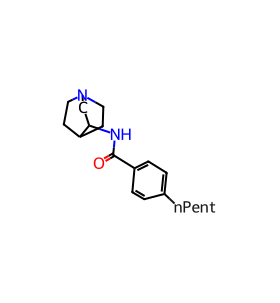 CCCCCc1ccc(C(=O)NC2CN3CCC2CC3)cc1